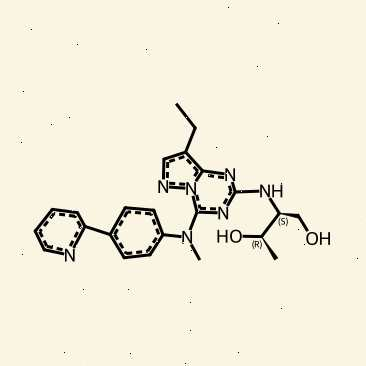 CCc1cnn2c(N(C)c3ccc(-c4ccccn4)cc3)nc(N[C@@H](CO)[C@@H](C)O)nc12